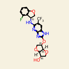 O[C@@H]1CO[C@H]2[C@@H]1OC[C@H]2Oc1nc2nc(N[C@@H]3COc4cccc(F)c43)c(C(F)(F)F)cc2[nH]1